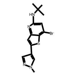 Cn1cc(-c2cc3nc(NC(C)(C)C)cc(Br)c3s2)cn1